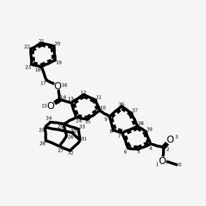 COC(=O)c1ccc2cc(-c3ccc(C(=O)OCc4ccccc4)c(C45CC6CC(CC(C6)C4)C5)c3)ccc2c1